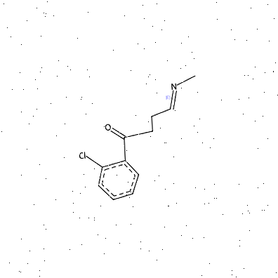 C/N=C/CCC(=O)c1ccccc1Cl